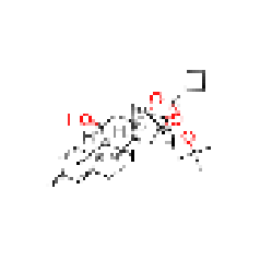 C=C1C=C[C@@]2(C)C(=C1)CC[C@@H]1[C@@H]2[C@@H](O)C[C@@]2(C)[C@H]1C[C@H]1O[C@@H](C3CCC3)O[C@]12C(=O)COC(C)(C)C